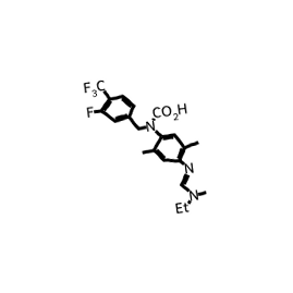 CCN(C)C=Nc1cc(C)c(N(Cc2ccc(C(F)(F)F)c(F)c2)C(=O)O)cc1C